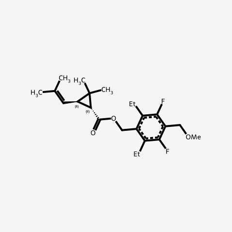 CCc1c(F)c(COC)c(F)c(CC)c1COC(=O)[C@@H]1[C@@H](C=C(C)C)C1(C)C